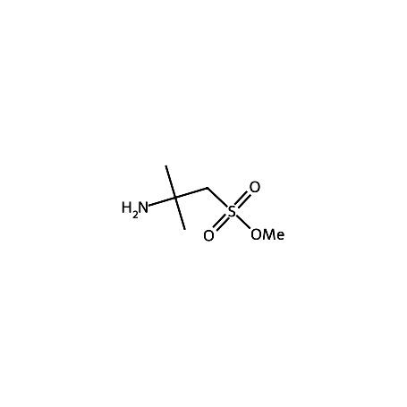 COS(=O)(=O)CC(C)(C)N